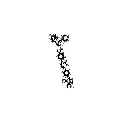 CCC(C)n1ncn(-c2ccc(N3CCN(c4ccc(OC[C@@H]5CO[C@@](Cn6nccn6)(c6ccncn6)O5)cc4)CC3)cc2)c1=O